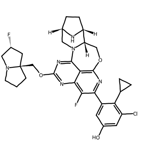 Oc1cc(Cl)c(C2CC2)c(-c2nc3c4c(nc(OC[C@@]56CCCN5C[C@H](F)C6)nc4c2F)N2C[C@@H]4CC[C@@H](N4)[C@@H]2CO3)c1